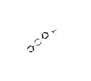 CC(C)C(Oc1ccc(N2CCN(c3ccncc3)CC2)cc1)C(=O)O